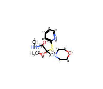 CNC(=O)C(CN1CCOCC1)(OC)Sc1ccccn1